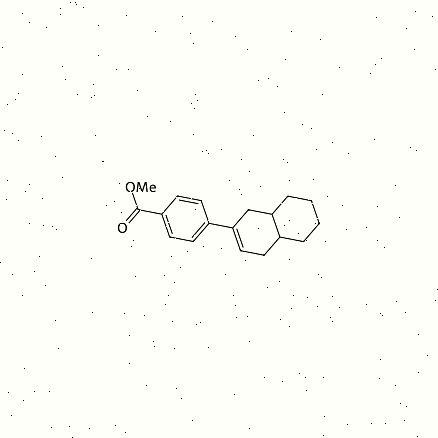 COC(=O)c1ccc(C2=CCC3CCCCC3C2)cc1